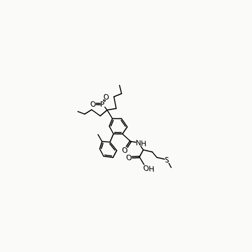 CCCCC(CCCC)(c1ccc(C(=O)NC(CCSC)C(=O)O)c(-c2ccccc2C)c1)P(=O)=O